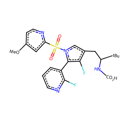 COc1ccnc(S(=O)(=O)n2cc(CC(NC(=O)O)C(C)(C)C)c(F)c2-c2cccnc2F)c1